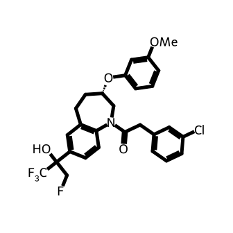 COc1cccc(O[C@H]2CCc3cc(C(O)(CF)C(F)(F)F)ccc3N(C(=O)Cc3cccc(Cl)c3)C2)c1